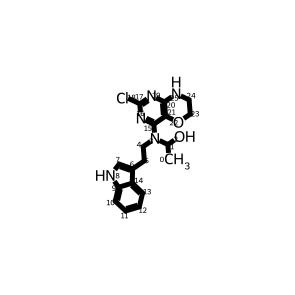 CC(O)N(CCc1c[nH]c2ccccc12)c1nc(Cl)nc2c1OCCN2